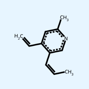 C=Cc1cc(C)ncc1/C=C\C